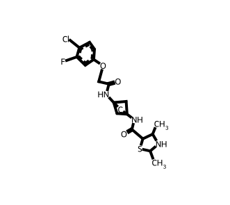 CC1NC(C)C(C(=O)NC23CC(NC(=O)COc4ccc(Cl)c(F)c4)(C2)C3)S1